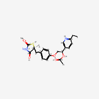 CCc1ccc([C@H](COc2ccc(C[C@]3(C)SC(=O)NC3=O)cc2)OC(C)=O)cn1